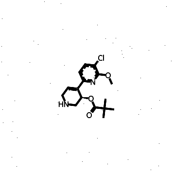 COc1nc(C2=CCNC[C@@H]2OC(=O)C(C)(C)C)ccc1Cl